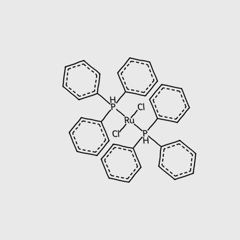 [Cl][Ru]([Cl])([PH](c1ccccc1)(c1ccccc1)c1ccccc1)[PH](c1ccccc1)(c1ccccc1)c1ccccc1